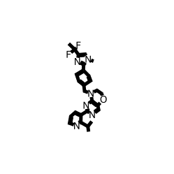 CC(C)c1ncccc1-c1ncc2c(n1)N(Cc1ccc(-c3nc(C(C)(F)F)cn3C)cc1)CCO2